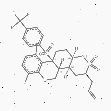 C=CCC1C[C@@H]2[C@@H](CC[C@@]3(S(=O)(=O)c4ccc(C(F)(F)F)cc4)c4c(F)ccc(F)c4OC[C@@H]23)NS1(=O)=O